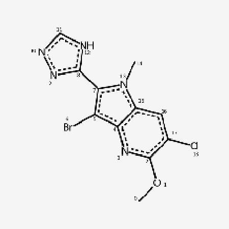 COc1nc2c(Br)c(-c3nnc[nH]3)n(C)c2cc1Cl